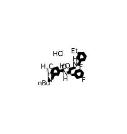 CCCCNCc1cc(C)cc(C(=O)N[C@@H](Cc2cc(F)cc(F)c2)[C@@H](O)CNCc2cccc(CC)c2)c1.Cl